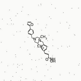 CC1CN(Cc2ccc(-c3ccco3)cc2)CC(C)N1Cc1ccc(/C=C/C(=O)NO)cc1